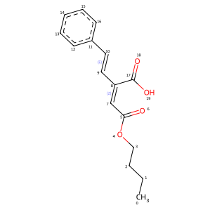 CCCCOC(=O)/C=C(/C=C/c1ccccc1)C(=O)O